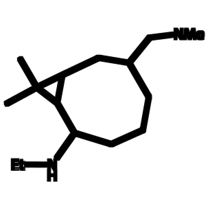 CCNC1CCCC(CNC)CC2C1C2(C)C